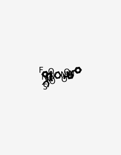 O=C(NC1CCC(n2c(=O)c3cc(F)cnc3n(C3CCSCC3)c2=O)CC1)c1cccn(Cc2ccccc2)c1=O